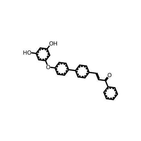 O=C(C=Cc1ccc(-c2ccc(Oc3cc(O)cc(O)c3)cc2)cc1)c1ccccc1